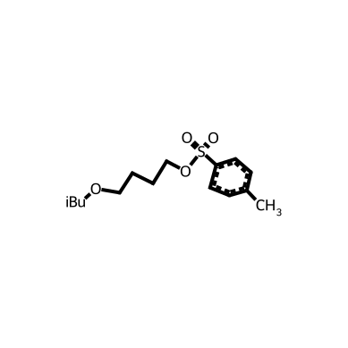 CCC(C)OCCCCOS(=O)(=O)c1ccc(C)cc1